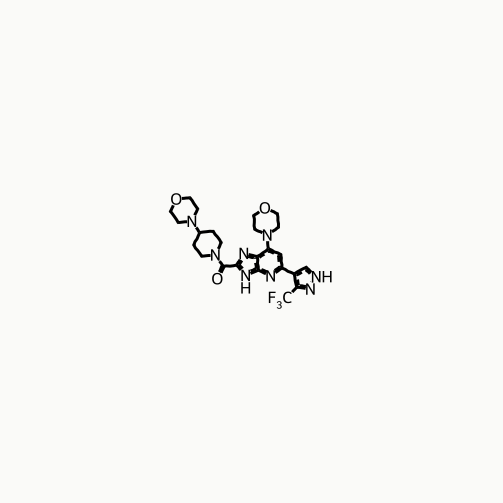 O=C(c1nc2c(N3CCOCC3)cc(-c3c[nH]nc3C(F)(F)F)nc2[nH]1)N1CCC(N2CCOCC2)CC1